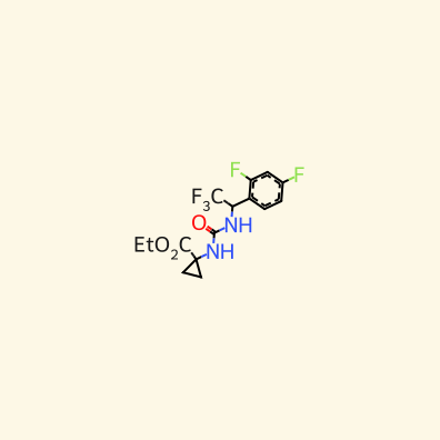 CCOC(=O)C1(NC(=O)NC(c2ccc(F)cc2F)C(F)(F)F)CC1